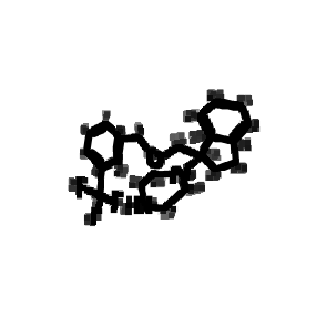 FC(F)(F)c1cccc(COCC2(N3CCNCC3)CCc3ccccc32)c1